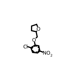 O=[N+]([O-])c1ccc(Cl)c(OCC2CCCO2)c1